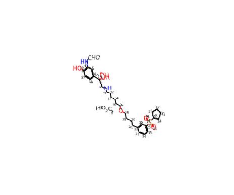 CC(=O)O.O=CNc1cc([C@@H](O)CNCCCCCCOCCCCc2cccc(S(=O)(=O)C3CCCC3)c2)ccc1O